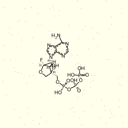 Nc1ncnc2c1ncn2[C@@H]1O[C@@]2(COP(=O)(O)OP(=O)(O)OP(=O)(O)O)CO[C@]1(F)[C@@H]2O